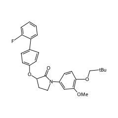 COc1cc(N2CCC(Oc3ccc(-c4ccccc4F)cc3)C2=O)ccc1OCC(C)(C)C